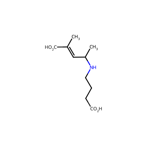 CC(=CC(C)NCCCC(=O)O)C(=O)O